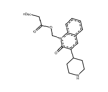 CCCCCCCCCCCC(=O)OCn1c(=O)c(C2CCNCC2)cc2ccccc21